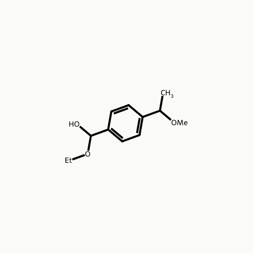 CCOC(O)c1ccc(C(C)OC)cc1